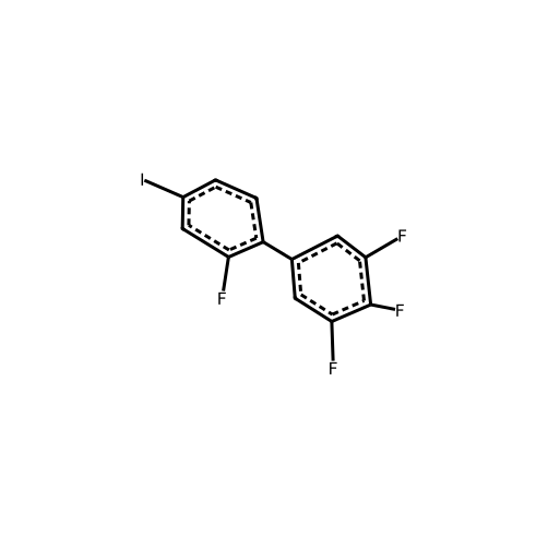 Fc1cc(I)ccc1-c1cc(F)c(F)c(F)c1